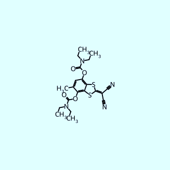 CCN(CC)C(=O)Oc1cc(C)c(OC(=O)N(CC)CC)c2c1SC(=C(C#N)C#N)S2